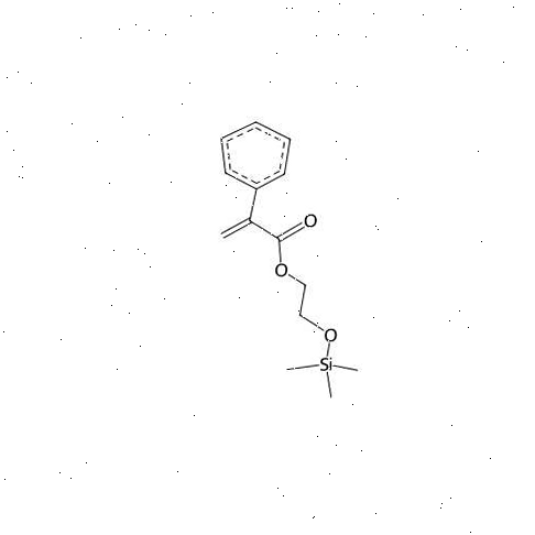 C=C(C(=O)OCCO[Si](C)(C)C)c1ccccc1